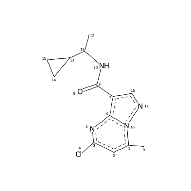 Cc1cc(Cl)nc2c(C(=O)NC(C)C3CC3)cnn12